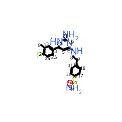 Cc1cc(C2C=C(NCCc3ccc(SON)cc3)N=C(N)N2)ccc1F